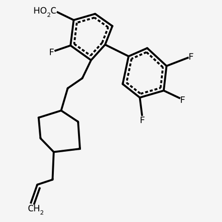 C=CCC1CCC(CCc2c(-c3cc(F)c(F)c(F)c3)ccc(C(=O)O)c2F)CC1